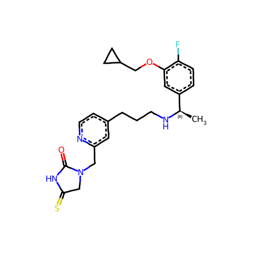 C[C@@H](NCCCc1ccnc(CN2CC(=S)NC2=O)c1)c1ccc(F)c(OCC2CC2)c1